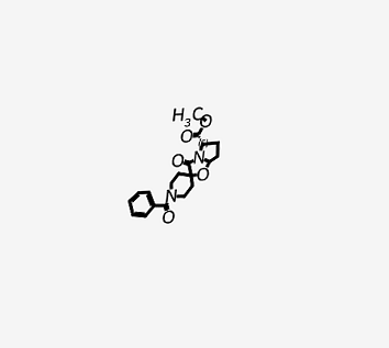 COC(=O)[C@@H]1CCC2OC3(CCN(C(=O)c4ccccc4)CC3)C(=O)N21